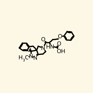 CN1N=C2CCN(C(=O)C(CCOc3ccccc3)NC(=O)O)CC2(Cc2ccccc2)C1=O